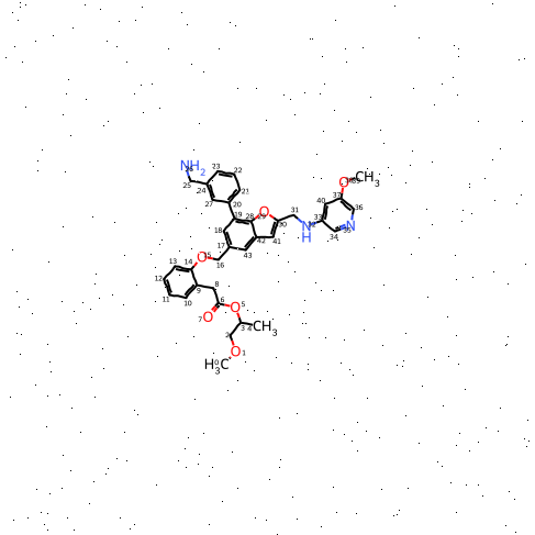 COCC(C)OC(=O)Cc1ccccc1OCc1cc(-c2cccc(CN)c2)c2oc(CNc3cncc(OC)c3)cc2c1